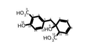 O=C(O)c1cc(CC2(O)C=CC=CC2C(=O)O)ccc1O